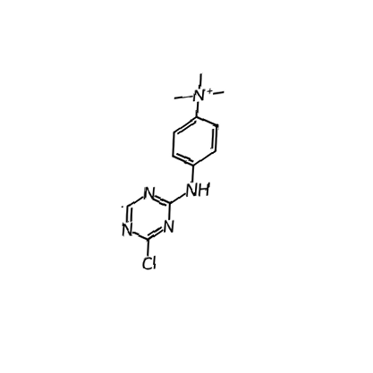 C[N+](C)(C)c1ccc(Nc2n[c]nc(Cl)n2)cc1